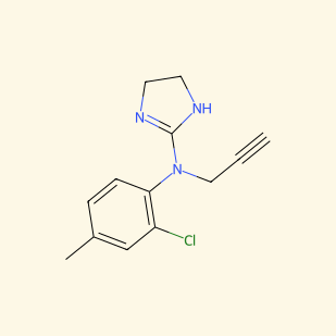 C#CCN(C1=NCCN1)c1ccc(C)cc1Cl